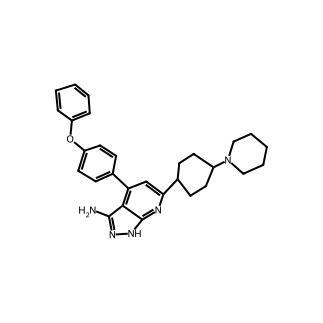 Nc1n[nH]c2nc(C3CCC(N4CCCCC4)CC3)cc(-c3ccc(Oc4ccccc4)cc3)c12